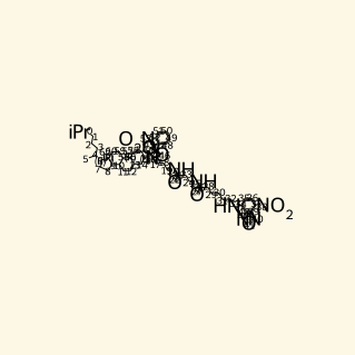 CC(C)CCCC(C)[C@H]1CCC2C3CC=C4C[C@@H](N(CCCNC(=O)CCNC(=O)CCCCCNc5ccc([N+](=O)[O-])c6nonc56)S(=O)(=O)c5ccccc5[N+](=O)[O-])CC[C@]4(C)C3CC[C@@]21C